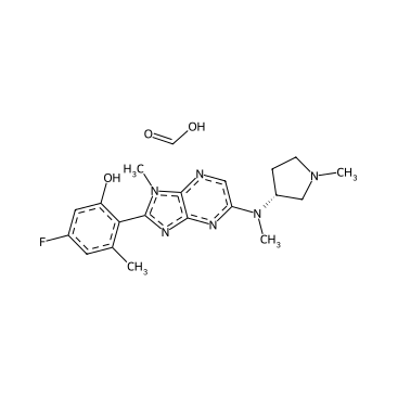 Cc1cc(F)cc(O)c1-c1nc2nc(N(C)[C@@H]3CCN(C)C3)cnc2n1C.O=CO